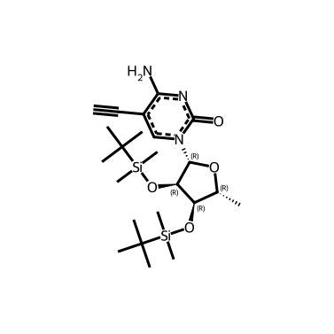 C#Cc1cn([C@@H]2O[C@H](C)[C@@H](O[Si](C)(C)C(C)(C)C)[C@H]2O[Si](C)(C)C(C)(C)C)c(=O)nc1N